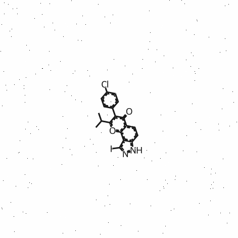 CC(C)c1oc2c(ccc3[nH]nc(I)c32)c(=O)c1-c1ccc(Cl)cc1